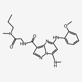 CCCN(C)C(=O)CNC(=O)c1cnn2c(NC)cc(Nc3ccccc3OC)nc12